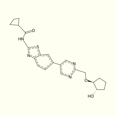 O=C(Nc1nc2ccc(-c3cnc(CO[C@H]4CCC[C@@H]4O)nc3)cc2s1)C1CCC1